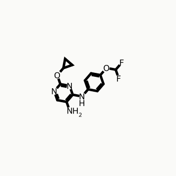 Nc1cnc(OC2CC2)nc1Nc1ccc(OC(F)F)cc1